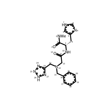 CNC(=O)[C@H](Cc1c[nH]cn1)NC(=O)CN(Cc1ccccc1)Cc1nn[nH]n1